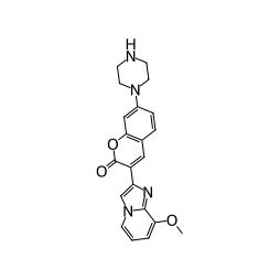 COc1cccn2cc(-c3cc4ccc(N5CCNCC5)cc4oc3=O)nc12